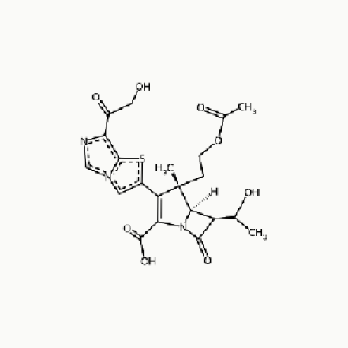 CC(=O)OCC[C@@]1(C)C(c2cn3cnc(C(=O)CO)c3s2)=C(C(=O)O)N2C(=O)[C@H](C(C)O)[C@@H]21